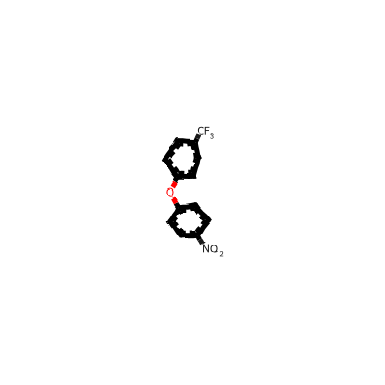 O=[N+]([O-])c1ccc(Oc2ccc(C(F)(F)F)cc2)cc1